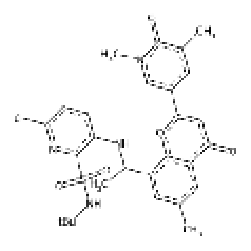 Cc1cc(C(C)Nc2ccc(Cl)nc2S(=O)(=O)NC(C)(C)C)c2oc(-c3cc(C)c(=O)n(C)c3)cc(=O)c2c1